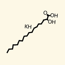 CCCCCCCCCCCCCCCCC(O)C(=O)O.[KH]